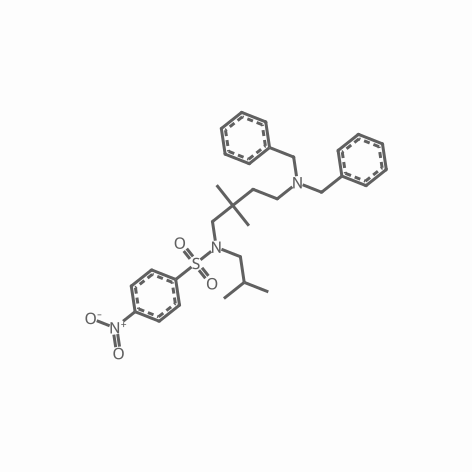 CC(C)CN(CC(C)(C)CCN(Cc1ccccc1)Cc1ccccc1)S(=O)(=O)c1ccc([N+](=O)[O-])cc1